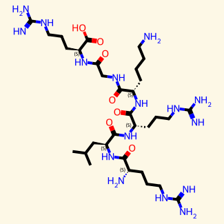 CC(C)C[C@H](NC(=O)[C@@H](N)CCCNC(=N)N)C(=O)N[C@@H](CCCNC(=N)N)C(=O)N[C@@H](CCCCN)C(=O)NCC(=O)N[C@@H](CCCNC(=N)N)C(=O)O